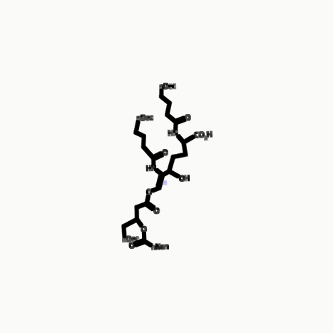 CCCCCCCCCCCCCC(=O)N/C(=C\OC(=O)CC(CCCCCCCCCCC)OC(=O)CCCCCCCCC)C(O)CCC(NC(=O)CCCCCCCCCCCCC)C(=O)O